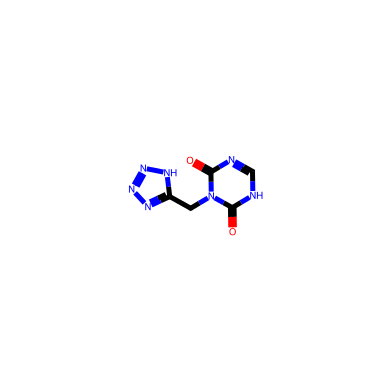 O=c1nc[nH]c(=O)n1Cc1nnn[nH]1